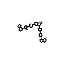 c1ccc2c(-c3ccc(-c4ccc(-c5ccc6[nH]cc(-c7ccc(-c8ccc(-c9cccc%10ccccc9%10)cc8)cc7)c6c5)cc4)cc3)cccc2c1